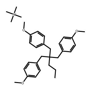 C[N+](C)(C)C.[CH2]CCC(Cc1ccc(OC)cc1)(Cc1ccc(OC)cc1)Cc1ccc(OC)cc1